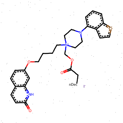 CCCCCCCCCCCC(=O)OC[N+]1(CCCCOc2ccc3ccc(=O)[nH]c3c2)CCN(c2cccc3sccc23)CC1.[I-]